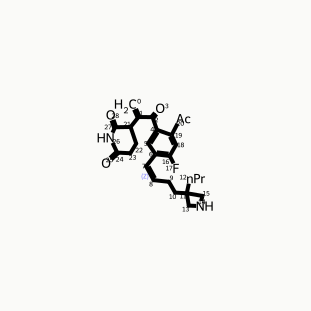 C=C(C(=O)c1cc(/C=C\CCC2(CCC)CNC2)c(F)cc1C(C)=O)C1CCC(=O)NC1=O